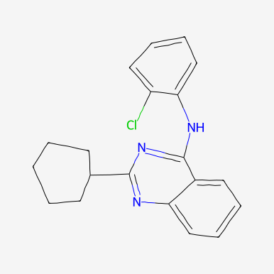 Clc1ccccc1Nc1nc(C2CCCCC2)nc2ccccc12